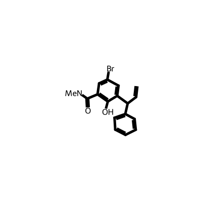 C=CC(c1ccccc1)c1cc(Br)cc(C(=O)NC)c1O